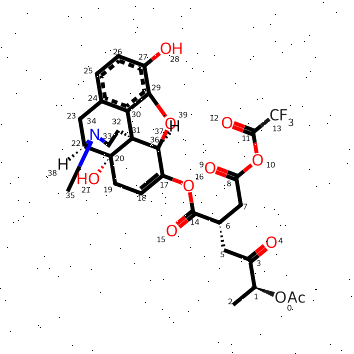 CC(=O)O[C@@H](C)C(=O)C[C@@H](CC(=O)OC(=O)C(F)(F)F)C(=O)OC1=CC[C@@]2(O)[C@H]3Cc4ccc(O)c5c4[C@@]2(CCN3C)[C@H]1O5